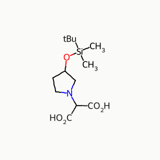 CC(C)(C)[Si](C)(C)OC1CCN(C(C(=O)O)C(=O)O)C1